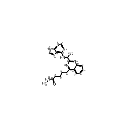 CCC(Nc1ncnc2[nH]cnc12)c1nc(CCCCC(=O)NO)c2ccccc2n1